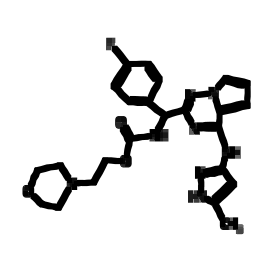 Cc1cc(Nc2nc(C(NC(=O)OCCN3CCOCC3)c3ccc(F)cc3)nn3cccc23)n[nH]1